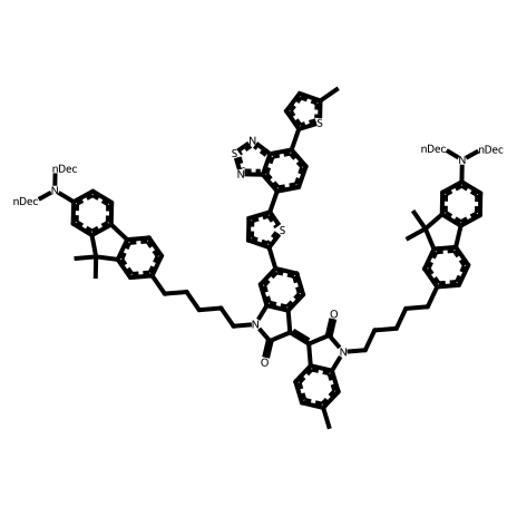 CCCCCCCCCCN(CCCCCCCCCC)c1ccc2c(c1)C(C)(C)c1cc(CCCCCN3C(=O)/C(=C4/C(=O)N(CCCCCc5ccc6c(c5)C(C)(C)c5cc(N(CCCCCCCCCC)CCCCCCCCCC)ccc5-6)c5cc(-c6ccc(-c7ccc(-c8ccc(C)s8)c8nsnc78)s6)ccc54)c4ccc(C)cc43)ccc1-2